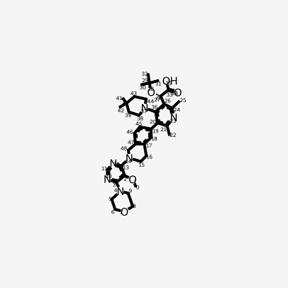 COc1c(N2CCOCC2)ncnc1N1CCc2cc(-c3c(C)nc(C)c([C@H](OC(C)(C)C)C(=O)O)c3N3CCC(C)(C)CC3)ccc2C1